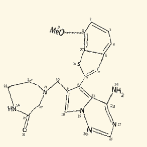 COc1cccc2cc(-c3c(CN4CCNC(=O)C4)cn4ncnc(N)c34)sc12